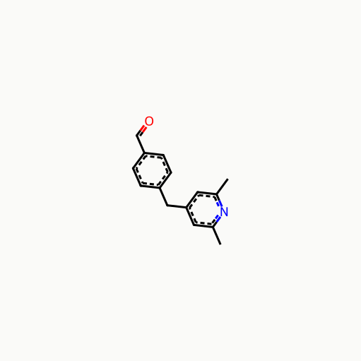 Cc1cc(Cc2ccc(C=O)cc2)cc(C)n1